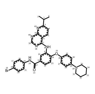 CC(C)c1ccc2c(Nc3cc(C(=O)Nc4ccc(Br)cc4)ccc3Oc3ccc(N4CCCCC4)cc3)ncnc2n1